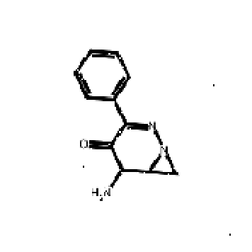 NC1C(=O)C(c2ccccc2)=NN2CC12